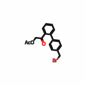 CC(=O)OCC(=O)c1ccccc1-c1ccc(CBr)cc1